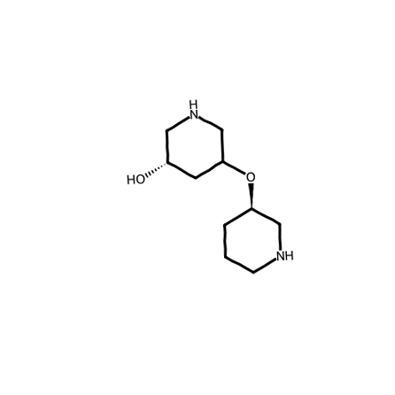 O[C@@H]1CNCC(O[C@@H]2CCCNC2)C1